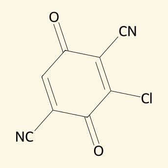 N#CC1=CC(=O)C(C#N)=C(Cl)C1=O